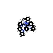 CCC1C=CC=CC1C1=NC(C)(c2cc(N3C4=C(C=CCC4)C4C=CC=CC43)ccc2N2C3C=CC=CC3C3(C)C=CC=CC23)NC(C2=CC=CCC2C)=N1